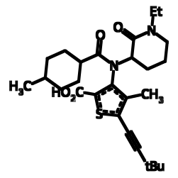 CCN1CCCC(N(C(=O)C2CCC(C)CC2)c2c(C(=O)O)sc(C#CC(C)(C)C)c2C)C1=O